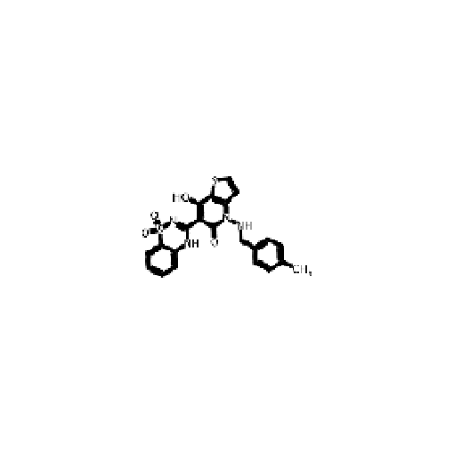 Cc1ccc(CNn2c(=O)c(C3=NS(=O)(=O)c4ccccc4N3)c(O)c3sccc32)cc1